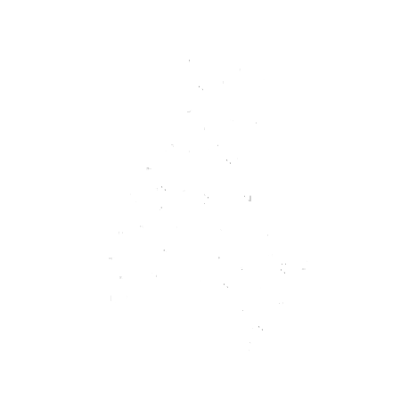 CNC1(CCN(C)C)C=CC(Nc2nc(-c3cn(C)c4ccccc34)c3c(F)cn(S(=O)(=O)c4ccc(C)cc4)c3n2)=CC1[N+](=O)[O-]